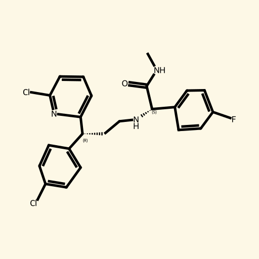 CNC(=O)[C@@H](NCC[C@H](c1ccc(Cl)cc1)c1cccc(Cl)n1)c1ccc(F)cc1